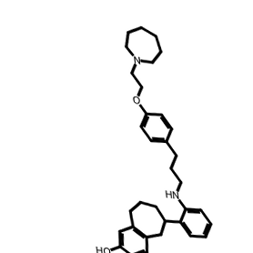 Oc1ccc2c(c1)CCCC(c1ccccc1NCCCc1ccc(OCCN3CCCCCC3)cc1)C2